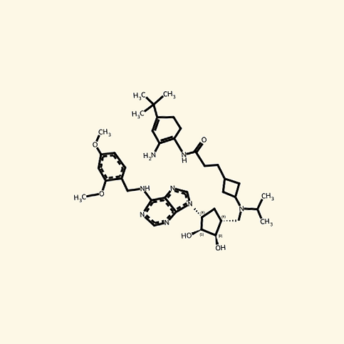 COc1ccc(CNc2ncnc3c2ncn3[C@@H]2C[C@H](CN(C(C)C)C3CC(CCC(=O)NC4=C(N)C=C(C(C)(C)C)CC4)C3)[C@@H](O)[C@H]2O)c(OC)c1